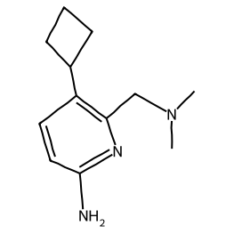 CN(C)Cc1nc(N)ccc1C1CCC1